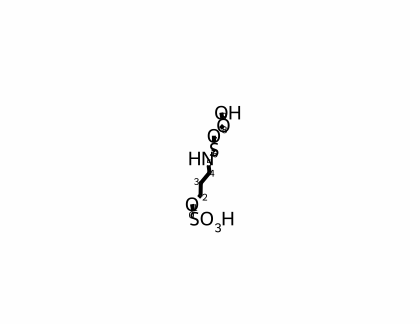 O=S(=O)(O)OCCCNSOOO